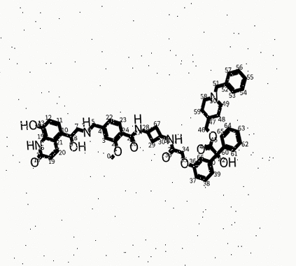 COc1cc(CNCC(O)c2ccc(O)c3[nH]c(=O)ccc23)ccc1C(=O)NC1CC(NC(=O)COc2cccc(C(O)(C(=O)OCC3CCN(Cc4ccccc4)CC3)c3ccccc3)c2)C1